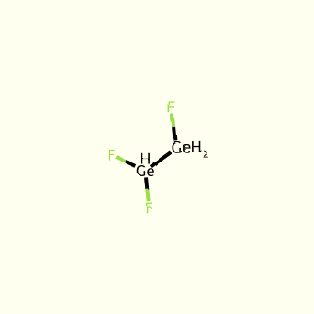 [F][GeH2][GeH]([F])[F]